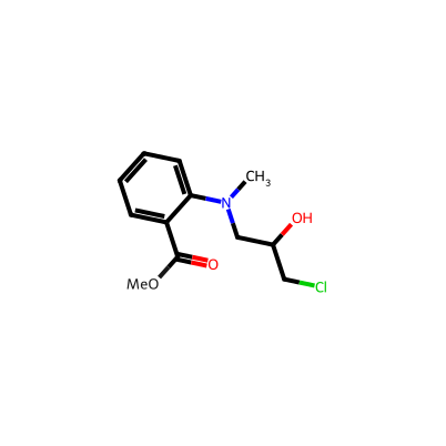 COC(=O)c1ccccc1N(C)CC(O)CCl